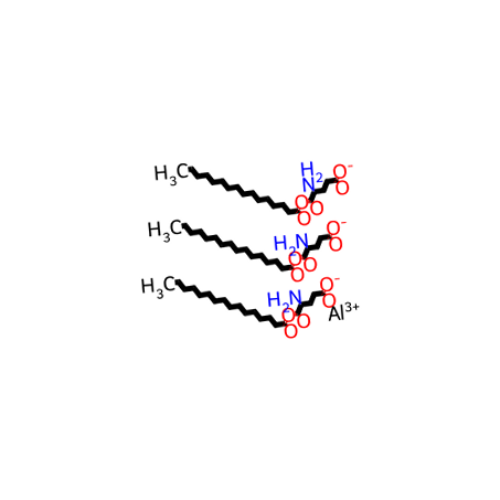 CCCCCCCCCCCCCCCC(=O)OC(=O)C(N)CCC(=O)[O-].CCCCCCCCCCCCCCCC(=O)OC(=O)C(N)CCC(=O)[O-].CCCCCCCCCCCCCCCC(=O)OC(=O)C(N)CCC(=O)[O-].[Al+3]